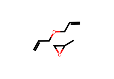 C=CCOCC=C.CC1CO1